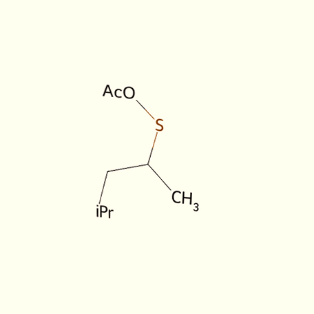 CC(=O)OSC(C)CC(C)C